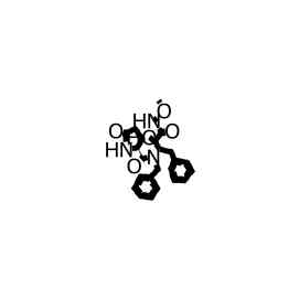 CONC(=O)C(O)C(Cc1ccccc1)N(Cc1ccccc1)C(=O)[C@H]1CCC(=O)N1